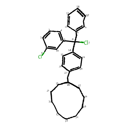 Clc1cccc(C(Cl)(c2ccccc2)c2ccc(C3CCCCCCCCC3)cc2)c1